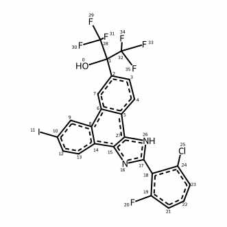 OC(c1ccc2c(c1)c1cc(I)ccc1c1nc(-c3c(F)cccc3Cl)[nH]c21)(C(F)(F)F)C(F)(F)F